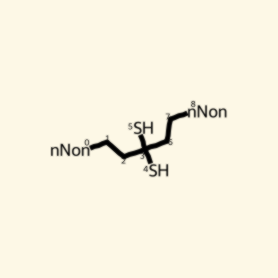 CCCCCCCCCCCC(S)(S)CCCCCCCCCCC